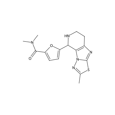 Cc1nn2c3c(nc2s1)CCNC3c1ccc(C(=O)N(C)C)o1